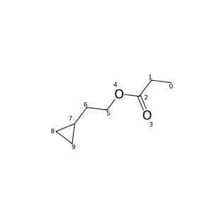 CCC(=O)OCCC1CC1